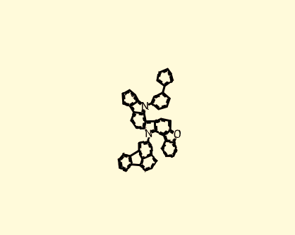 c1ccc(-c2cccc(-n3c4ccccc4c4ccc5c(c6ccc7oc8ccccc8c7c6n5-c5cc6c7c(cccc7c5)-c5ccccc5-6)c43)c2)cc1